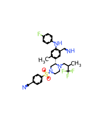 Cc1cc(Nc2ccc(F)cc2)c(C=N)cc1[C@H]1CN(S(=O)(=O)c2ccc(C#N)cc2)CCN1CC(C)C(F)(F)F